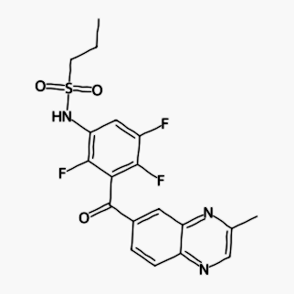 CCCS(=O)(=O)Nc1cc(F)c(F)c(C(=O)c2ccc3ncc(C)nc3c2)c1F